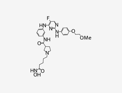 COCCOc1ccc(Nc2ncc(F)c(Nc3cccc(NC(=O)C4CCN(CCCCC(=O)NO)C4)c3)n2)cc1